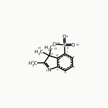 CC1=Nc2cccc(S(=O)(=O)Cl)c2C1(C)C